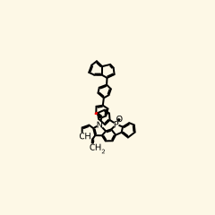 C=Cc1c(/C=C\C)n(-c2ccc(-c3ccc(-c4cccc5ccccc45)cc3)cc2)c2c3c(ccc12)-c1ccccc1P3(=O)c1ccccc1